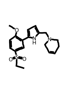 CCS(=O)(=O)c1ccc(OC)c(-c2ccc(CN3CC=CCC3)[nH]2)c1